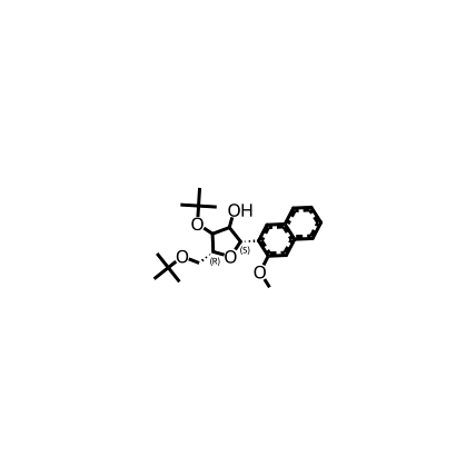 COc1cc2ccccc2cc1[C@@H]1O[C@H](COC(C)(C)C)C(OC(C)(C)C)C1O